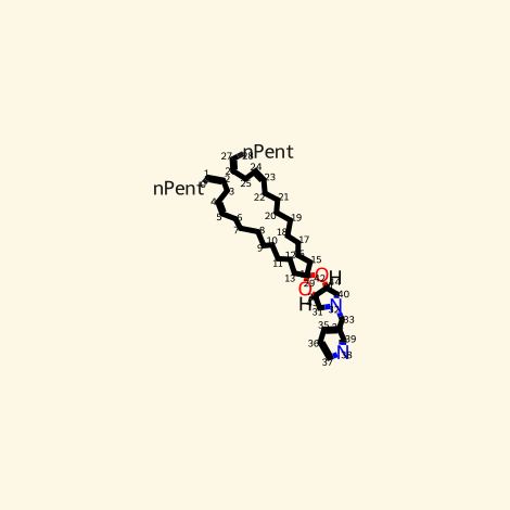 CCCCC/C=C\C/C=C\CCCCCCCCC1(CCCCCCCC/C=C\C/C=C\CCCCC)O[C@H]2CN(Cc3cccnc3)C[C@@H]2O1